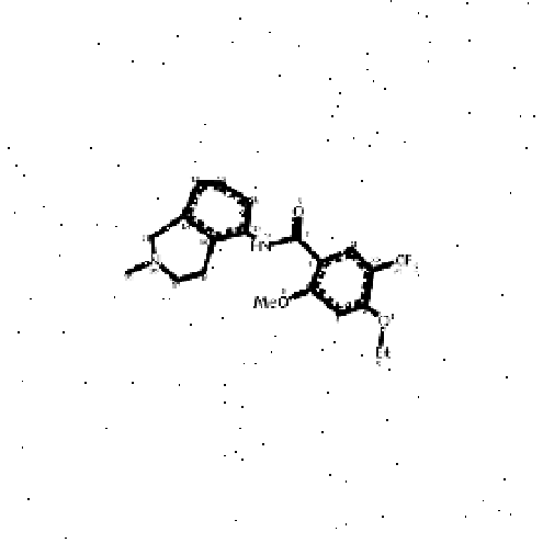 CCOc1cc(OC)c(C(=O)Nc2cccc3c2CCN(C)C3)cc1C(F)(F)F